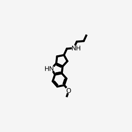 CCCNCC1Cc2[nH]c3ccc(OC)cc3c2C1